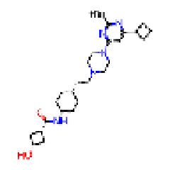 CC(C)(C)c1nc(C2CCC2)cc(N2CCN(CC[C@H]3CC[C@@H](NC(=O)[C@H]4C[C@@H](O)C4)CC3)CC2)n1